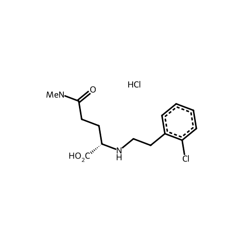 CNC(=O)CC[C@H](NCCc1ccccc1Cl)C(=O)O.Cl